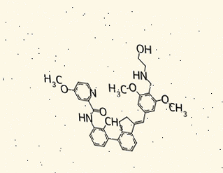 COc1ccnc(C(=O)Nc2cccc(-c3cccc4c3CCC4=Cc3cc(OC)c(CNCCO)c(OC)c3)c2C)c1